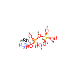 N.O=P(O)(O)OS(=O)(=O)O.[Rh]